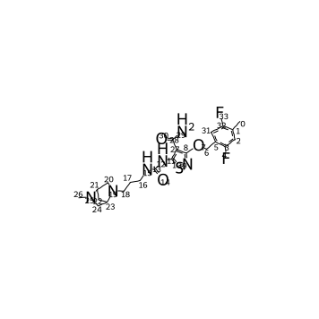 Cc1cc(F)c(COc2nsc(NC(=O)NCCCN3CC4CC3CN4C)c2C(N)=O)cc1F